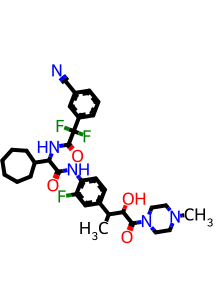 CC(c1ccc(NC(=O)C(NC(=O)C(F)(F)c2cccc(C#N)c2)C2CCCCCC2)c(F)c1)C(O)C(=O)N1CCN(C)CC1